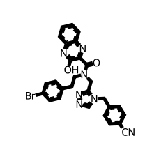 N#Cc1ccc(Cn2cnnc2CN(CCc2ccc(Br)cc2)C(=O)c2nc3ccccc3nc2O)cc1